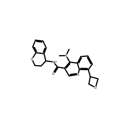 CN(C)c1c(C(=O)NC2CCOc3ccccc32)cnc2c(C3COC3)cccc12